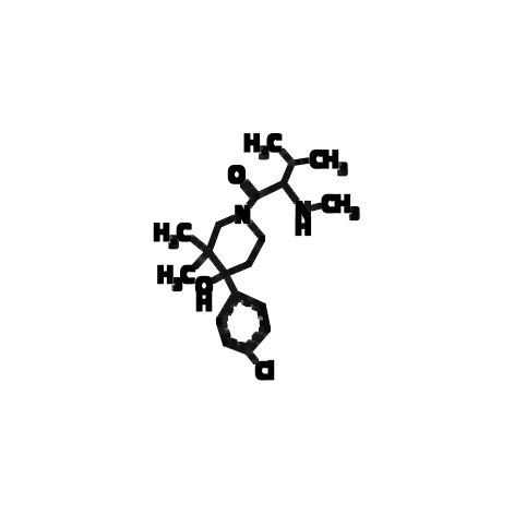 CNC(C(=O)N1CCC(O)(c2ccc(Cl)cc2)C(C)(C)C1)C(C)C